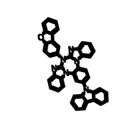 c1ccc2c(c1)nc1n(-c3ccc4oc5ccccc5c4c3)c3nc4ccccc4n3c3cc(-n4c5ccccc5c5ccccc54)ccc3n21